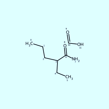 CCCC(CC)C(N)=O.O=CO